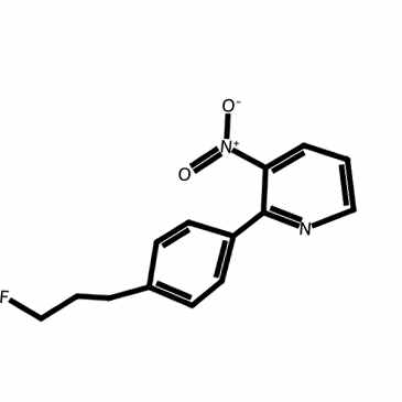 O=[N+]([O-])c1cccnc1-c1ccc(CCCF)cc1